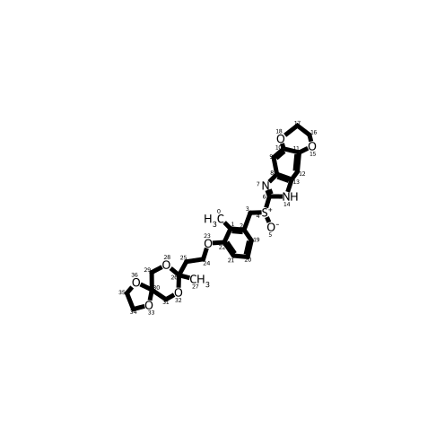 Cc1c(C[S+]([O-])c2nc3cc4c(cc3[nH]2)OCCO4)cccc1OCCC1(C)OCC2(CO1)OCCO2